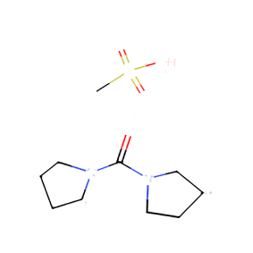 CS(=O)(=O)O.O=C(N1CCCC1)N1CCCC1